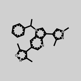 Cc1nn(C)cc1-c1cn(C(C)c2ccccc2)c2cc(-c3c(C)noc3C)cnc12